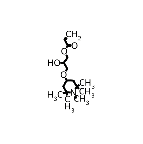 C=CC(=O)OCC(O)COC1CC(C)(C)N(C)C(C)(C)C1